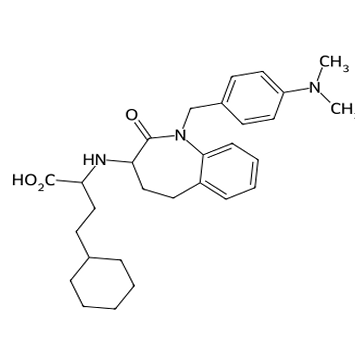 CN(C)c1ccc(CN2C(=O)C(NC(CCC3CCCCC3)C(=O)O)CCc3ccccc32)cc1